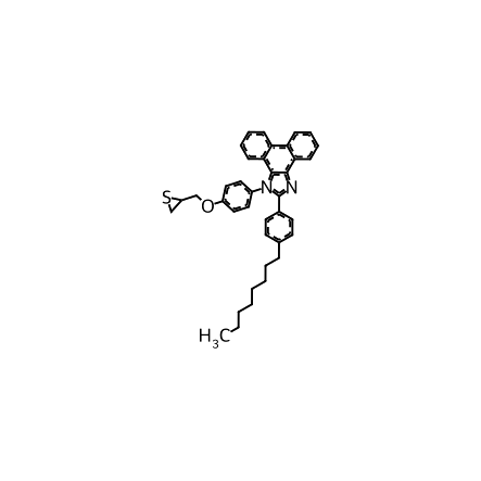 CCCCCCCCc1ccc(-c2nc3c4ccccc4c4ccccc4c3n2-c2ccc(OCC3CS3)cc2)cc1